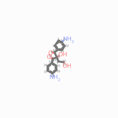 Nc1ccc(C(=O)C(O)(CCO)C(=O)c2ccc(N)cc2)cc1